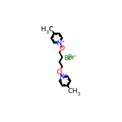 Cc1cc[n+](OCCCCO[n+]2ccc(C)cc2)cc1.[Br-].[Br-]